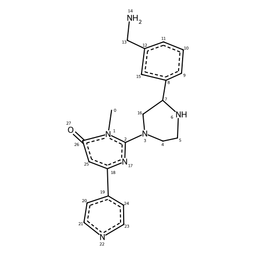 Cn1c(N2CCNC(c3cccc(CN)c3)C2)nc(-c2ccncc2)cc1=O